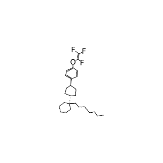 CCCCCCCC1([C@H]2CC[C@H](c3ccc(OC(F)=C(F)F)cc3)CC2)CCCCC1